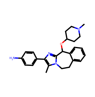 Cc1c(-c2ccc(N)cc2)nc2n1CCc1ccccc1C2OC1CCN(C)CC1